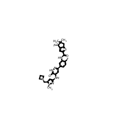 Cn1nc(Nc2cc(-c3ccc(F)c(NC(=O)c4cc5c(s4)CC(C)(C)[C@@H]5F)c3)n[nH]c2=O)cc1CN1CCC1